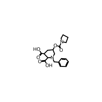 O=C(O)C1CC(OC(=O)N2CCCC2)CN(Cc2ccccc2)C1C(=O)O